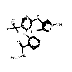 CNC(=O)c1ccccc1Nc1cc(Nc2cn(C)nc2C)ncc1C(F)(F)F